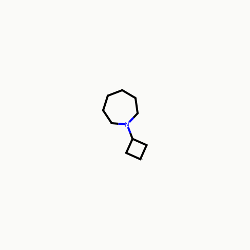 [CH]1CC(N2CCCCCC2)C1